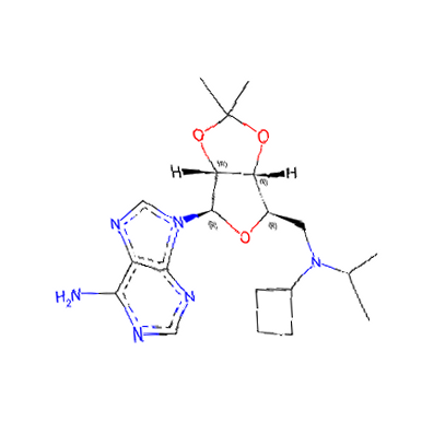 CC(C)N(C[C@H]1O[C@@H](n2cnc3c(N)ncnc32)[C@@H]2OC(C)(C)O[C@@H]21)C1CCC1